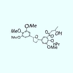 CCCOc1c(OC)cc(C2CCC(c3cc(OC)c(OC)c(OC)c3)O2)cc1S(=O)(=O)CC(C)O